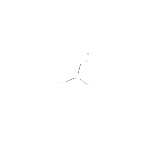 CN(C)C=O.[CaH2]